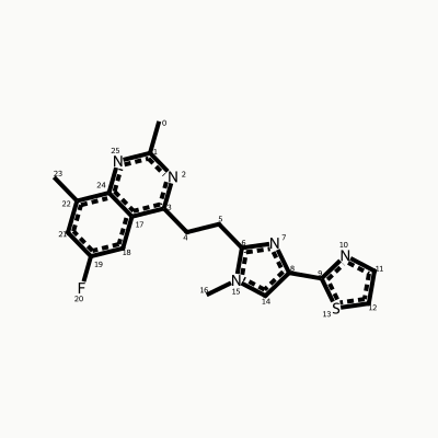 Cc1nc(CCc2nc(-c3nccs3)cn2C)c2cc(F)cc(C)c2n1